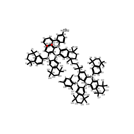 Cc1cc(C)c(N2c3cc4c(cc3B3c5cc6c(cc5N(c5ccc7c(c5)C(C)(C)CCC7(C)C)c5cc(C(C)(C)CCC7(C)CCC(C)(C)c8cc9c(cc87)B7c8cc%10c(cc8N(c8ccc%11c(c8)C(C)(C)CCC%11(C)C)c8cc(C)cc(c87)N9c7ccc(C(C)(C)C)cc7-c7ccccc7)C(C)(C)CCC%10(C)C)cc2c53)C(C)(C)CCC6(C)C)C(C)(C)CCC4(C)C)c(C)c1